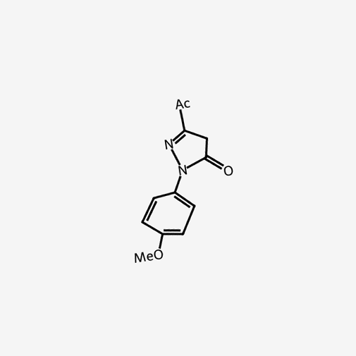 COc1ccc(N2N=C(C(C)=O)CC2=O)cc1